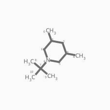 CC1CC(C)CN(C(C)(C)C)C1